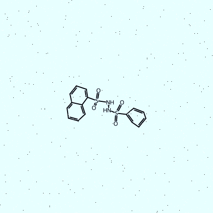 O=S(=O)(NNS(=O)(=O)c1cccc2ccccc12)c1ccccc1